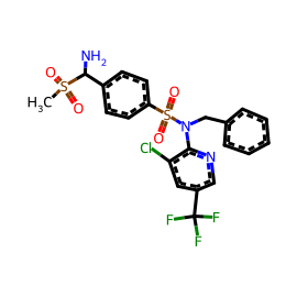 CS(=O)(=O)C(N)c1ccc(S(=O)(=O)N(Cc2ccccc2)c2ncc(C(F)(F)F)cc2Cl)cc1